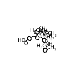 CC(C)(C)OC(=O)N1C(Cc2ccc(C(=O)O)cc2)CC[C@@H]1[C@H](O[Si](C)(C)C(C)(C)C)c1ccc(NC(C)(C)c2ccccc2)nc1